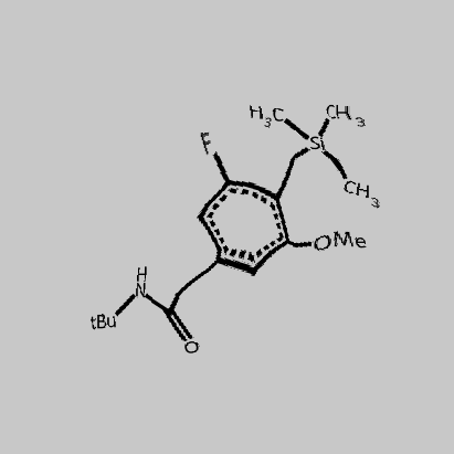 COc1cc(C(=O)NC(C)(C)C)cc(F)c1[Si](C)(C)C